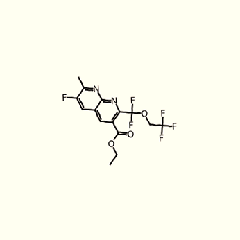 CCOC(=O)c1cc2cc(F)c(C)nc2nc1C(F)(F)OCC(F)(F)F